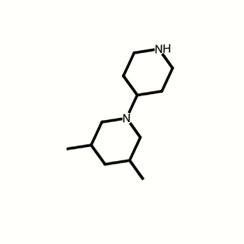 CC1CC(C)CN(C2CCNCC2)C1